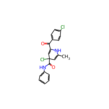 CC1=CC(Cl)(C(=O)Nc2ccccc2)C=C(C(=O)c2ccc(Cl)cc2)N1